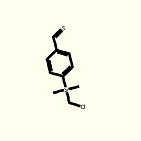 C[Si](C)(CCl)c1ccc(C=S)cc1